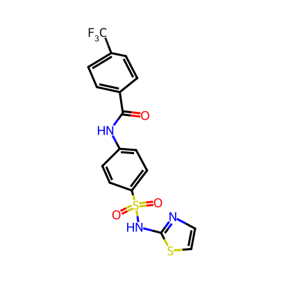 O=C(Nc1ccc(S(=O)(=O)Nc2nccs2)cc1)c1ccc(C(F)(F)F)cc1